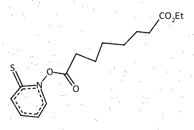 CCOC(=O)CCCCCCC(=O)On1ccccc1=S